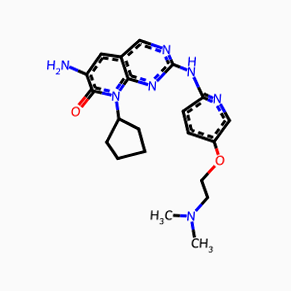 CN(C)CCOc1ccc(Nc2ncc3cc(N)c(=O)n(C4CCCC4)c3n2)nc1